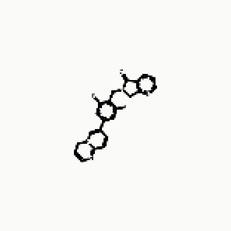 O=C1c2cccnc2CN1Cc1c(F)cc(C2=CN3CC=CN=C3C=C2)cc1F